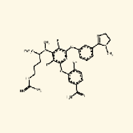 CCOC(=O)C(CCCNC(=N)N)N(C)c1c(F)c(Oc2cccc(C3=NCCN3C)c2)nc(Oc2cc(C(=N)N)ccc2O)c1F